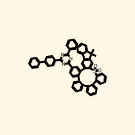 CC1(C)c2ccccc2-c2cc3c(cc21)S(=O)(=O)c1ccccc1-c1ccccc1-c1ccccc1-c1ccc(-c2nc(-c4ccccc4)nc(-c4ccc(-c5ccccc5)cc4)n2)cc1-3